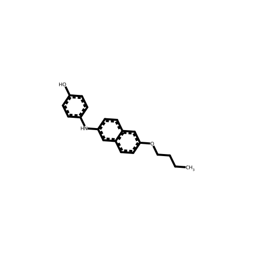 CCCCOc1ccc2cc(Nc3ccc(O)cc3)ccc2c1